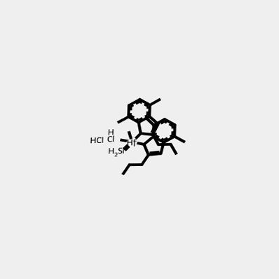 CCCC1=Cc2c(C)ccc(C)c2[CH]1[Hf]([CH3])([CH3])(=[SiH2])[CH]1C(CCC)=Cc2c(C)ccc(C)c21.Cl.Cl